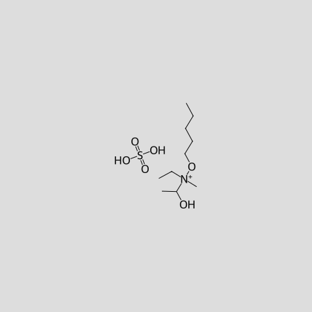 CCCCCO[N+](C)(CC)C(C)O.O=S(=O)(O)O